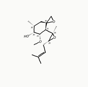 CO[C@@H]1[C@H](O)[C@H](C)C[C@]2(CO2)[C@H]1[C@@]1(C)O[C@@H]1CC=C(C)C